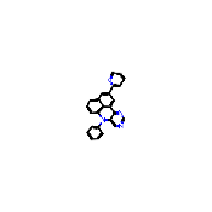 c1ccc(N2c3cncnc3-c3cc(-c4ccccn4)cc4cccc2c34)cc1